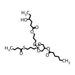 CCCCCC(=O)OC1CO[Si](CCCSC(=O)CCC)(OCCCOC(=O)CCC(O)CC)OC1